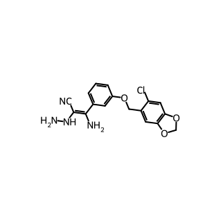 N#C/C(NN)=C(/N)c1cccc(OCc2cc3c(cc2Cl)OCO3)c1